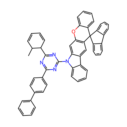 CC1C=CC=CC1c1nc(-c2ccc(-c3ccccc3)cc2)nc(-n2c3ccccc3c3cc4c(cc32)Oc2ccccc2C42c3ccccc3-c3ccccc32)n1